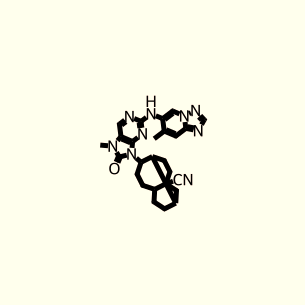 Cc1cc2ncnn2cc1Nc1ncc2c(n1)n(C1CCC3CCC4CC3(C#N)CCC41)c(=O)n2C